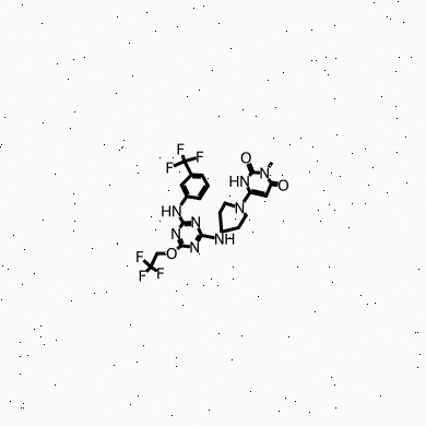 Cn1c(=O)cc(N2CCC(Nc3nc(Nc4cccc(C(F)(F)F)c4)nc(OCC(F)(F)F)n3)CC2)[nH]c1=O